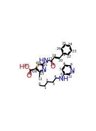 CCCCCNc1cccnc1.Cc1nc(NC(=O)C=Cc2ccccc2)sc1C(=O)O